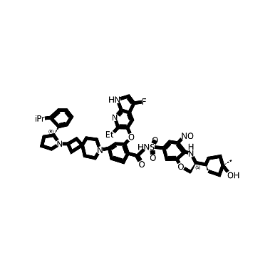 CCc1nc2[nH]cc(F)c2cc1Oc1cc(N2CCC3(CC2)CC(N2CCC[C@@H]2c2ccccc2C(C)C)C3)ccc1C(=O)NS(=O)(=O)c1cc(N=O)c2c(c1)OC[C@H]([C@H]1CC[C@](C)(O)CC1)N2